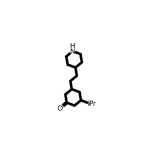 CC(C)C1CC(=O)CC(CCC2CCNCC2)C1